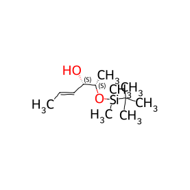 CC=C[C@H](O)[C@H](C)O[Si](C)(C)C(C)(C)C